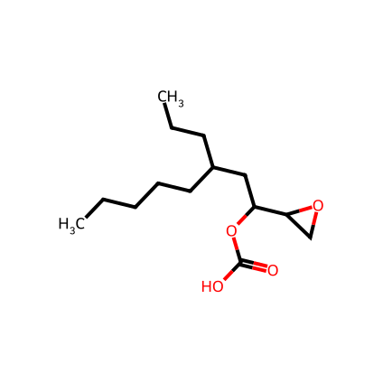 CCCCCC(CCC)CC(OC(=O)O)C1CO1